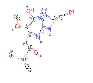 CCOC1=C(O)N2NC(=C=O)N=C2N=C1CC(=O)N(CC)CC